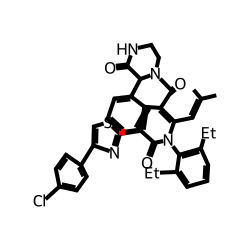 CCc1cccc(CC)c1-n1c(C=C(C)C)c(C(=O)N2CCNC(=O)C2c2ccccc2)cc(-c2nc(-c3ccc(Cl)cc3)cs2)c1=O